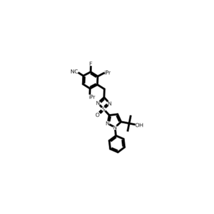 CC(C)c1cc(C#N)c(F)c(C(C)C)c1CC1=NS(=O)(c2cc(C(C)(C)O)n(-c3ccccc3)n2)=N1